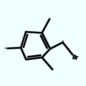 [CH2]c1cc(C)c([CH]Br)c(C)c1